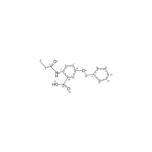 CCC(=O)Nc1ccc(OCc2ccccc2)cc1C(=O)O